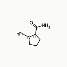 CCCN1CCC[C@@H]1C(N)=O